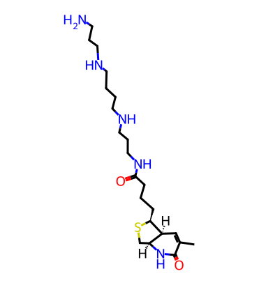 CC1=C[C@H]2[C@H](CS[C@H]2CCCC(=O)NCCCNCCCCNCCCN)NC1=O